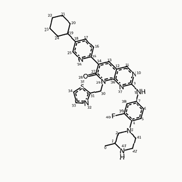 CC1CN(c2ccc(Nc3ncc4cc(-c5ccc(C6CCCCC6)cn5)c(=O)n(Cc5nccs5)c4n3)cc2F)CCN1